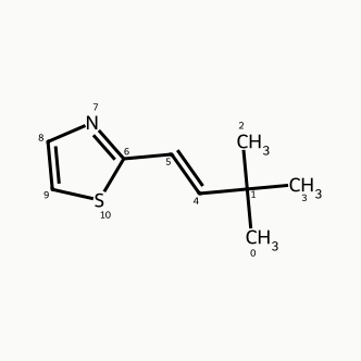 CC(C)(C)/C=C/c1nccs1